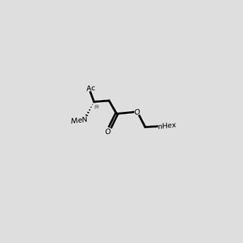 CCCCCCCOC(=O)C[C@H](NC)C(C)=O